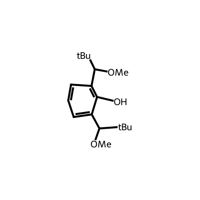 COC(c1cccc(C(OC)C(C)(C)C)c1O)C(C)(C)C